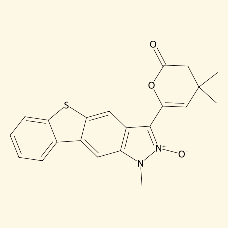 Cn1c2cc3c(cc2c(C2=CC(C)(C)CC(=O)O2)[n+]1[O-])sc1ccccc13